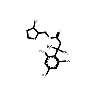 CC(=O)Oc1cc(C)cc(C)c1C(C)(C)CC(=O)OCC1OCCC1O